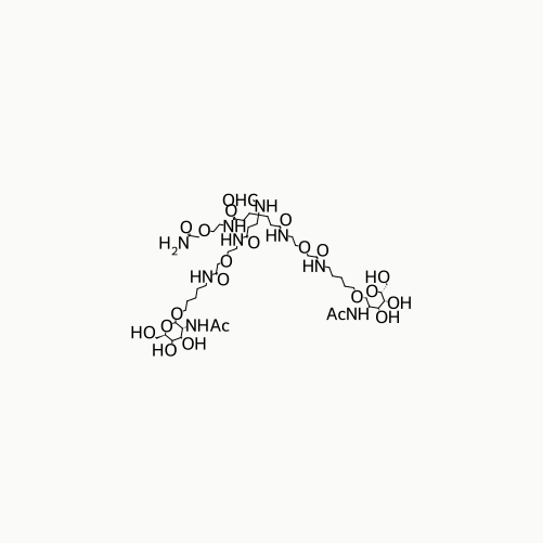 CC(=O)N[C@H]1[C@H](OCCCCCNC(=O)COCCNC(=O)CCC(CCC(=O)NCCOCC(N)=O)(CCC(=O)NCCOCC(=O)NCCCCCO[C@@H]2O[C@H](CO)[C@H](O)[C@H](O)[C@H]2NC(C)=O)NC=O)O[C@H](CO)[C@H](O)[C@@H]1O